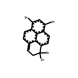 CC(C)c1cc(Br)c2ccc3c4c(ccc1c24)C(Br)(C(C)C)CC=3